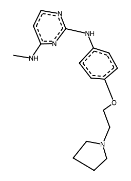 CNc1ccnc(Nc2ccc(OCCN3CCCC3)cc2)n1